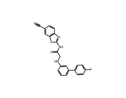 N#Cc1ccc2nc(NC(=O)CNc3cccc(-c4ccc(F)cc4)c3)sc2c1